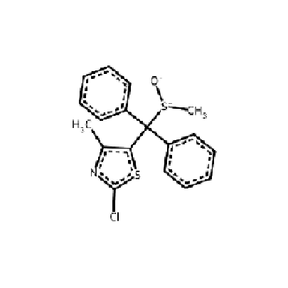 Cc1nc(Cl)sc1C(c1ccccc1)(c1ccccc1)[S+](C)[O-]